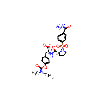 CN(C)C(=O)Oc1ccc(C[C@H](NC(=O)[C@@H]2CCCN2S(=O)(=O)c2ccc(C(N)=O)cc2)C(=O)O)cc1